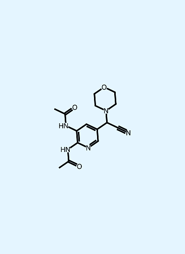 CC(=O)Nc1cc(C(C#N)N2CCOCC2)cnc1NC(C)=O